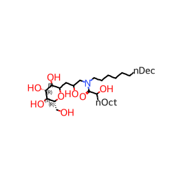 CCCCCCCCCCCCCCCCN(CC(O)CC1O[C@H](CO)[C@@H](O)[C@H](O)[C@H]1O)C(=O)C(O)CCCCCCCC